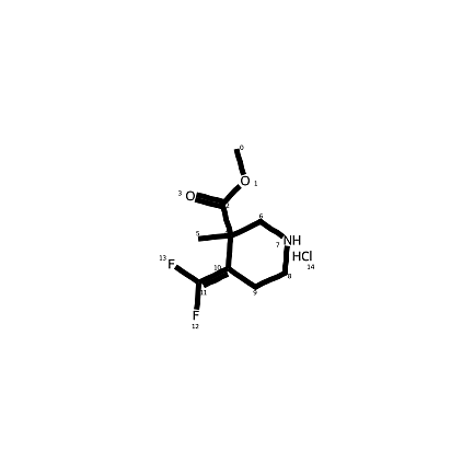 COC(=O)C1(C)CNCCC1=C(F)F.Cl